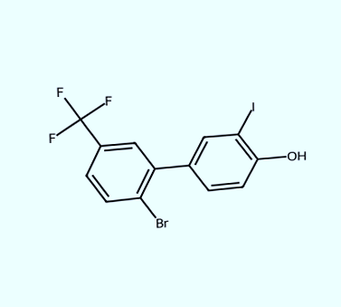 Oc1ccc(-c2cc(C(F)(F)F)ccc2Br)cc1I